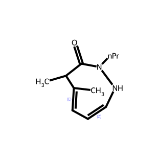 CCCN1N/C=C\C=C(/C)C(C)C1=O